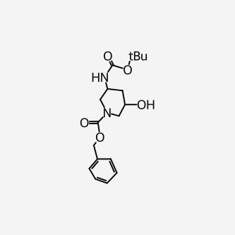 CC(C)(C)OC(=O)NC1CC(O)CN(C(=O)OCc2ccccc2)C1